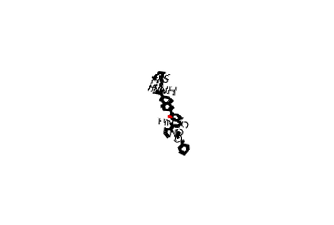 O=C(OCc1ccccc1)N1CCCC1c1cc(=O)c2ccc(-c3ccc4cc(-c5cnc(C6SC67CCCN7)[nH]5)ccc4c3)cc2[nH]1